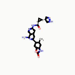 Cc1cc2[nH]c(=O)oc2cc1-c1cc2cc(NC(=O)[C@H]3C[C@@H]3c3cn[nH]c3)ncc2c(N)n1